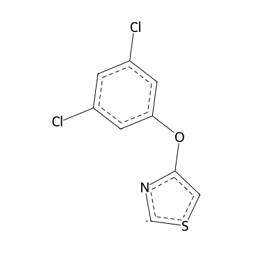 Clc1cc(Cl)cc(Oc2cs[c]n2)c1